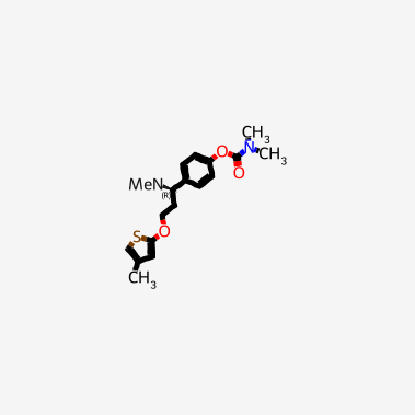 CN[C@H](CCOc1cc(C)cs1)c1ccc(OC(=O)N(C)C)cc1